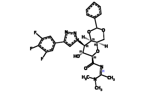 C/C(=N/C(=O)[C@@H]1O[C@@H]2COC(c3ccccc3)O[C@@H]2[C@H](n2cc(-c3cc(F)c(F)c(F)c3)nn2)[C@H]1O)N(C)C